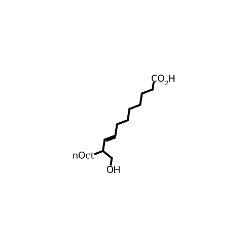 CCCCCCCCC(/C=C/CCCCCCC(=O)O)CO